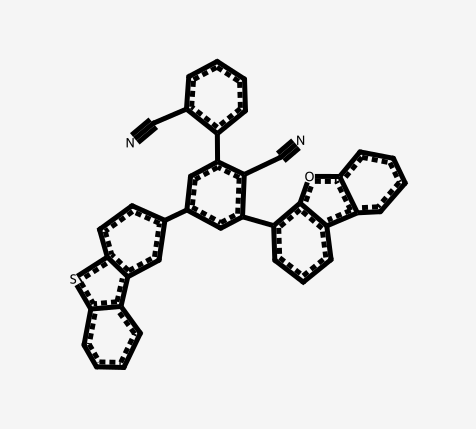 N#Cc1ccccc1-c1cc(-c2ccc3sc4ccccc4c3c2)cc(-c2cccc3c2oc2ccccc23)c1C#N